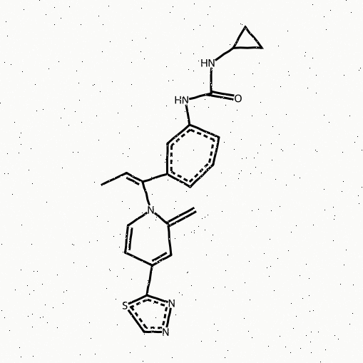 C=C1C=C(c2nncs2)C=CN1/C(=C\C)c1cccc(NC(=O)NC2CC2)c1